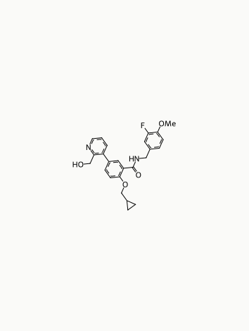 COc1ccc(CNC(=O)c2cc(-c3cccnc3CO)ccc2OCC2CC2)cc1F